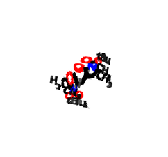 CC(C)(C)OC(=O)N1C(=O)C(=C[C@H]2COC(C)(C)N2C(=O)OC(C)(C)C)CC1(C)C